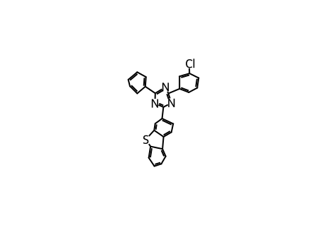 Clc1cccc(-c2nc(-c3ccccc3)nc(-c3ccc4c(c3)sc3ccccc34)n2)c1